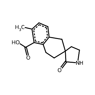 Cc1ccc2c(c1C(=O)O)CCC1(CCNC1=O)C2